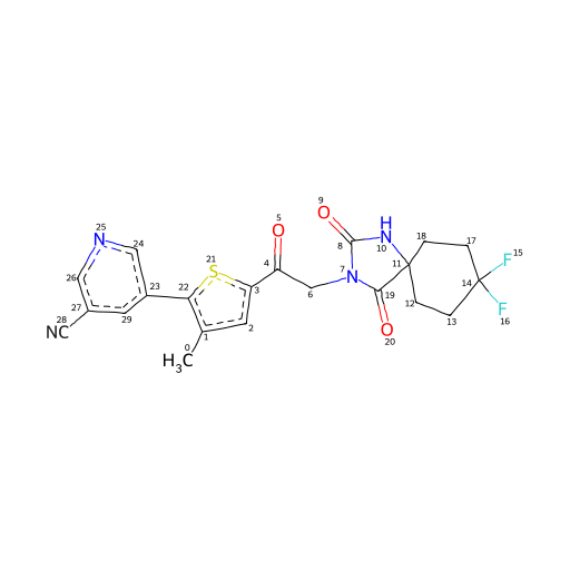 Cc1cc(C(=O)CN2C(=O)NC3(CCC(F)(F)CC3)C2=O)sc1-c1cncc(C#N)c1